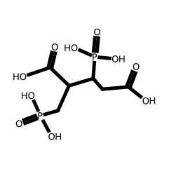 O=C(O)CC(C(CP(=O)(O)O)C(=O)O)P(=O)(O)O